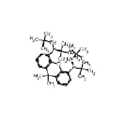 CC(C)(C)PP(c1cccc2c1Oc1c(P(PC(C)(C)C)C(C)(C)C)cccc1C2(C)C)C(C)(C)C